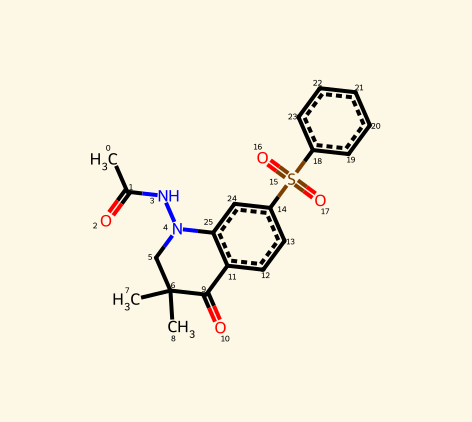 CC(=O)NN1CC(C)(C)C(=O)c2ccc(S(=O)(=O)c3ccccc3)cc21